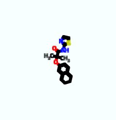 CC(C)(Oc1ccc2c(c1)=CCCC=2)C(=O)Nc1nccs1